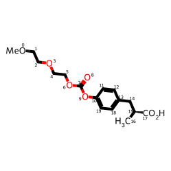 COCCOCCOC(=O)Oc1ccc(C[C@H](C)C(=O)O)cc1